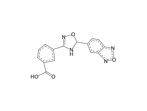 O=C(O)c1cccc(C2=NOC(c3ccc4nonc4c3)N2)c1